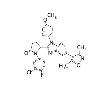 COC1CCC(n2c(C3CCC(=O)N3c3ccc(F)c(Cl)c3)nc3cc(-c4c(C)noc4C)ccc32)CC1